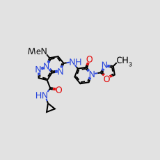 CNc1cc(Nc2cccn(-c3nc(C)co3)c2=O)nc2c(C(=O)NC3CC3)cnn12